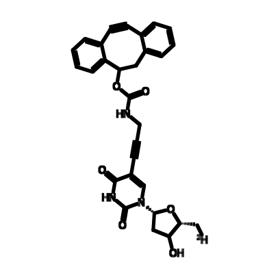 [2H]C[C@H]1O[C@@H](n2cc(C#CCNC(=O)OC3Cc4ccccc4C#Cc4ccccc43)c(=O)[nH]c2=O)CC1O